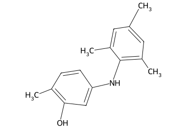 Cc1cc(C)c(Nc2ccc(C)c(O)c2)c(C)c1